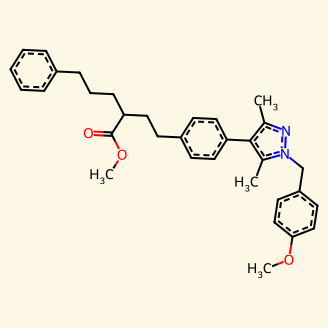 COC(=O)C(CCCc1ccccc1)CCc1ccc(-c2c(C)nn(Cc3ccc(OC)cc3)c2C)cc1